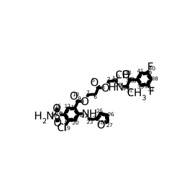 C[C@H](COC(=O)CCOC(=O)c1cc(S(N)(=O)=O)c(Cl)cc1NCc1ccco1)N[C@H](C)C(=O)c1cc(F)cc(F)c1